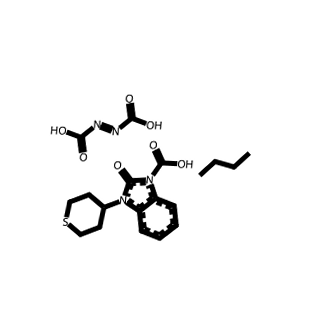 CCCC.O=C(O)/N=N/C(=O)O.O=C(O)n1c(=O)n(C2CCSCC2)c2ccccc21